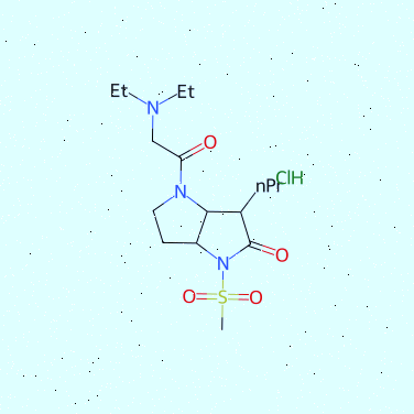 CCCC1C(=O)N(S(C)(=O)=O)C2CCN(C(=O)CN(CC)CC)C12.Cl